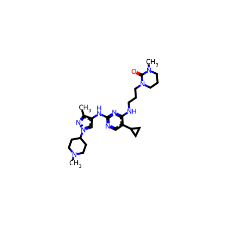 Cc1nn(C2CCN(C)CC2)cc1Nc1ncc(C2CC2)c(NCCCN2CCCN(C)C2=O)n1